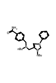 CCCCN(CC1=CN(c2ccccc2)CN1CCCC)Cc1ccc(C(N)=O)cc1